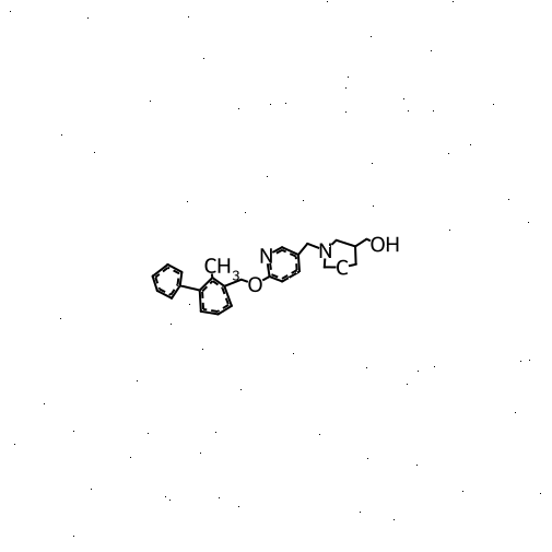 Cc1c(COc2ccc(CN3CCCC(CO)C3)cn2)cccc1-c1ccccc1